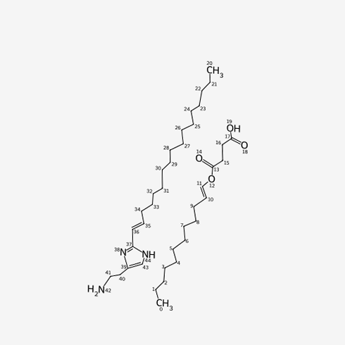 CCCCCCCCCCC=COC(=O)CCC(=O)O.CCCCCCCCCCCCCCCC=Cc1nc(CCN)c[nH]1